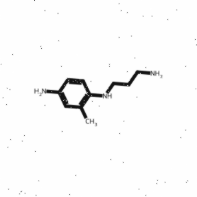 Cc1cc(N)ccc1NCCCN